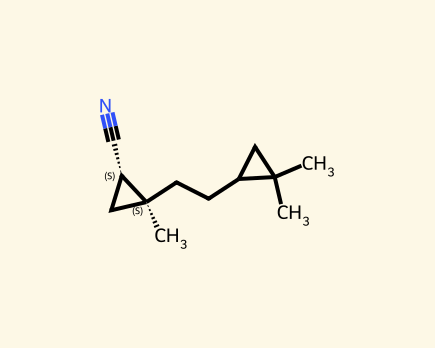 CC1(C)CC1CC[C@@]1(C)C[C@@H]1C#N